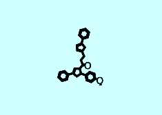 COc1ccc(C2CC(c3ccccc3)=CC2C(=O)CCC2=CC=C(c3ccccc3)C2)cc1